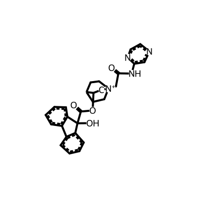 O=C(C[N+]12CCC(CC1)C(OC(=O)C1(O)c3ccccc3-c3ccccc31)C2)Nc1cnccn1